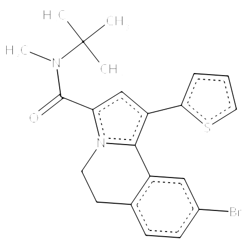 CN(C(=O)c1cc(-c2cccs2)c2n1CCc1ccc(Br)cc1-2)C(C)(C)C